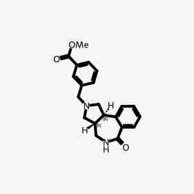 COC(=O)c1cccc(CN2C[C@H]3CNC(=O)c4ccccc4[C@@H]3C2)c1